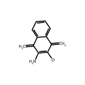 C=c1c(N)c(Cl)c(=C)c2ccccc12